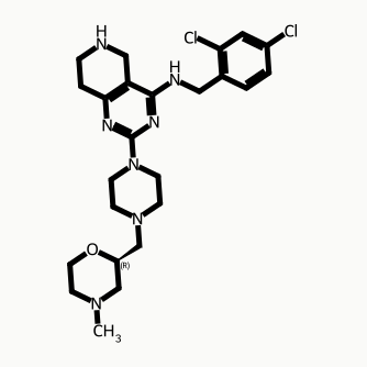 CN1CCO[C@@H](CN2CCN(c3nc4c(c(NCc5ccc(Cl)cc5Cl)n3)CNCC4)CC2)C1